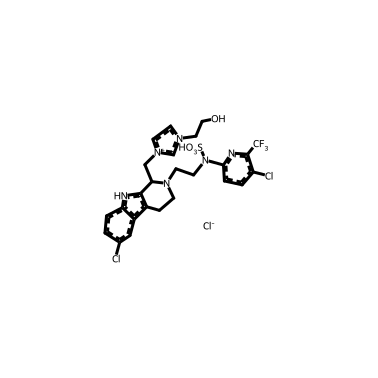 O=S(=O)(O)N(CCN1CCc2c([nH]c3ccc(Cl)cc23)C1C[n+]1ccn(CCO)c1)c1ccc(Cl)c(C(F)(F)F)n1.[Cl-]